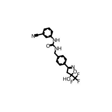 N#Cc1cccc(NC(=O)NCc2ccc(C3=NOC(O)(C(F)(F)F)C3)cc2)c1